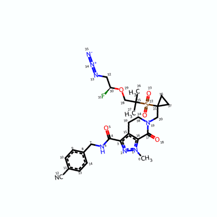 Cn1nc(C(=O)NCc2ccc(C#N)cc2)c2c1C(=O)N(CC1(S(=O)(=O)C(C)(C)CO[C@@H](F)CN=[N+]=[N-])CC1)CC2